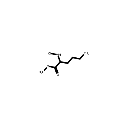 CCCCC(NCl)C(=O)OC